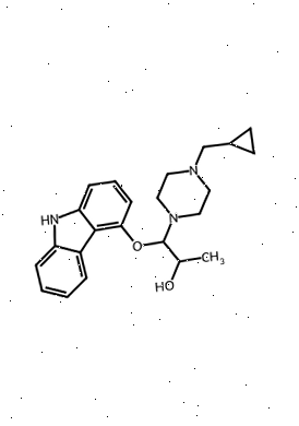 CC(O)C(Oc1cccc2[nH]c3ccccc3c12)N1CCN(CC2CC2)CC1